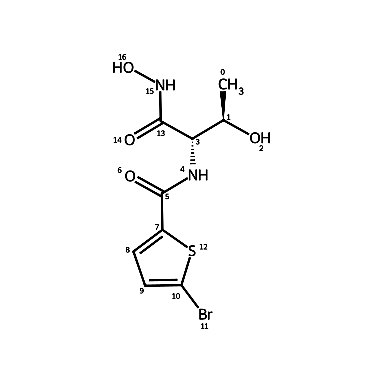 C[C@@H](O)[C@H](NC(=O)c1ccc(Br)s1)C(=O)NO